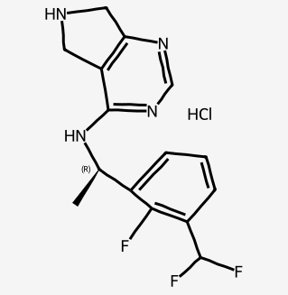 C[C@@H](Nc1ncnc2c1CNC2)c1cccc(C(F)F)c1F.Cl